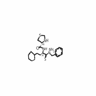 NN(Cc1ccccc1)C(=S)[C@@H](CCC1CCCCC1)NC(=O)[C@@H]1CSCN1